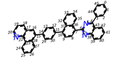 c1ccc(-c2nc(-c3ccc(-c4ccc(-c5cc6cccnc6c6ccccc56)cc4)c4ccccc34)nc3ccccc23)cc1